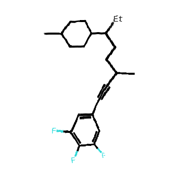 CCC(CCC(C)C#Cc1cc(F)c(F)c(F)c1)C1CCC(C)CC1